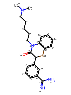 CCN(CC)CCCCCN1C(=O)C(c2cccc(C(=N)N)c2)Sc2ccccc21